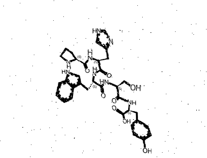 O=C(O)[C@H](Cc1ccc(O)cc1)NC(=O)[C@H](CO)NC(=O)[C@H](Cc1c[nH]c2ccccc12)NC(=O)[C@H](Cc1c[nH]cn1)NC(=O)[C@@H]1CCCN1